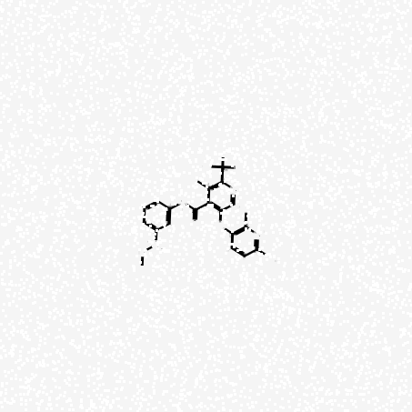 CN[S@+]([O-])c1cccc(NC(=O)c2c(Oc3ccc(F)nc3C)cnc(C(F)(F)F)c2C)c1